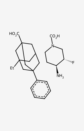 CCC12CC3CC(C(=O)O)(C1)CC(c1ccccc1)(C3)C2.N[C@H]1CCN(C(=O)O)C[C@@H]1F